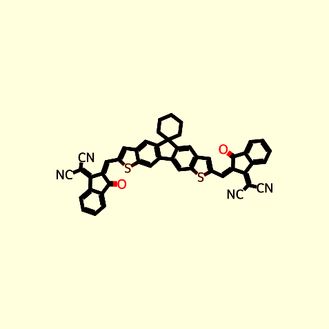 N#CC(C#N)=C1/C(=C/c2cc3cc4c(cc3s2)-c2cc3sc(/C=C5\C(=O)c6ccccc6C5=C(C#N)C#N)cc3cc2C42CCCCC2)C(=O)c2ccccc21